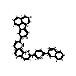 c1ccc2cc(-c3ccc(-c4ccc5ccc6ccc(-c7ccc8c(c7)-c7cccc9cccc-8c79)nc6c5n4)cn3)ccc2c1